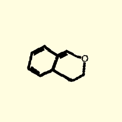 C1=CC2=COCCC2C=C1